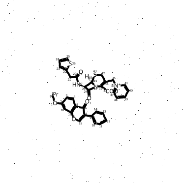 CC(C)Oc1ccc2c(=O)c(-c3ccccc3)coc2c1.O=C(Cc1cccs1)N[C@@H]1C(=O)N2C(C(=O)[O-])=C(C[n+]3ccccc3)CS[C@H]12